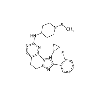 CSN1CCC(Nc2ncc3c(n2)-c2c(nc(-c4ccccc4F)n2C2CC2)CC3)CC1